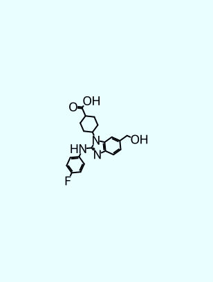 O=C(O)C1CCC(n2c(Nc3ccc(F)cc3)nc3ccc(CO)cc32)CC1